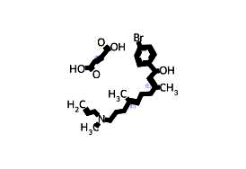 C=CCN(C)CCC/C(C)=C/CC/C(C)=C/C(O)c1ccc(Br)cc1.O=C(O)/C=C/C(=O)O